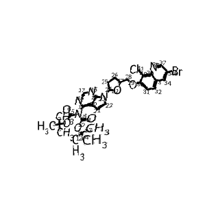 CC(C)(C)OC(=O)N(C(=O)OC(C)(C)C)c1ncnc2c1ccn2C1CCC(COc2ccc3cc(Br)cnc3c2Cl)O1